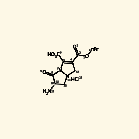 CCCOC(=O)C1=C(C(=O)O)N2C(=O)[C@@H](N)CN2C1.Cl